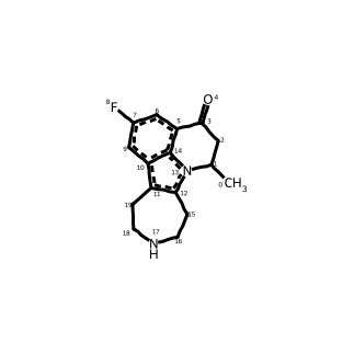 CC1CC(=O)c2cc(F)cc3c4c(n1c23)CCNCC4